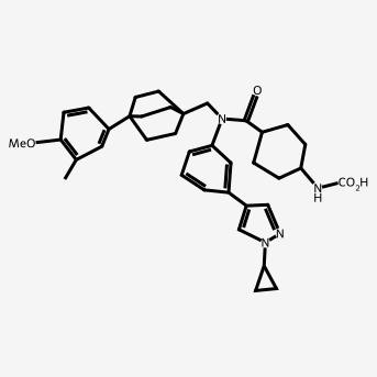 COc1ccc(C23CCC(CN(C(=O)C4CCC(NC(=O)O)CC4)c4cccc(-c5cnn(C6CC6)c5)c4)(CC2)CC3)cc1C